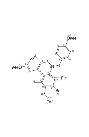 COc1ccc(CN(Cc2ccc(OC)cc2)c2cc(C)c(CC(F)(F)F)c(Br)c2F)cc1